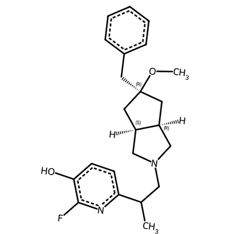 CO[C@@]1(Cc2ccccc2)C[C@H]2CN(CC(C)c3ccc(O)c(F)n3)C[C@H]2C1